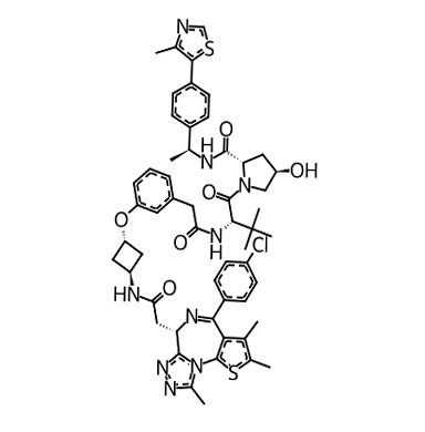 Cc1ncsc1-c1ccc([C@H](C)NC(=O)[C@@H]2C[C@@H](O)CN2C(=O)[C@@H](NC(=O)Cc2cccc(O[C@H]3C[C@H](NC(=O)C[C@@H]4N=C(c5ccc(Cl)cc5)c5c(sc(C)c5C)-n5c(C)nnc54)C3)c2)C(C)(C)C)cc1